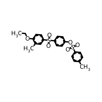 CCOc1ccc(S(=O)(=O)c2ccc(OS(=O)(=O)c3ccc(C)cc3)cc2)cc1C